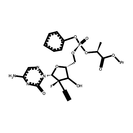 C#C[C@@]1(F)C(O)[C@@H](CO[P@](=O)(Oc2ccccc2)O[C@@H](C)C(=O)OC(C)C)O[C@H]1n1ncc(N)nc1=O